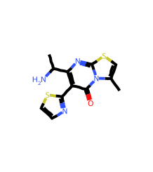 Cc1csc2nc(C(C)N)c(-c3nccs3)c(=O)n12